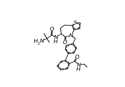 CCNC(=O)c1ccccc1-c1ccc(CN2C(=O)C(NC(=O)C(C)(C)N)CCc3sccc32)cc1